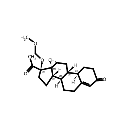 COCO[C@]1(C(C)=O)CC[C@H]2[C@@H]3CCC4=CC(=O)CC[C@@H]4[C@H]3CC[C@@]21C